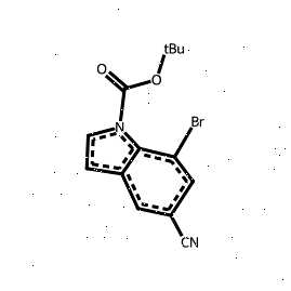 CC(C)(C)OC(=O)n1ccc2cc(C#N)cc(Br)c21